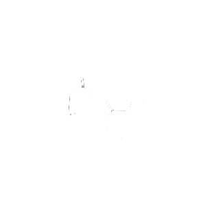 CCCCOC(=O)Cl.O=C(OC(Cl)(Cl)Cl)OC(Cl)(Cl)Cl